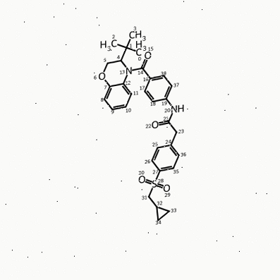 CC(C)(C)C1COc2ccccc2N1C(=O)c1ccc(NC(=O)Cc2ccc(S(=O)(=O)CC3CC3)cc2)cc1